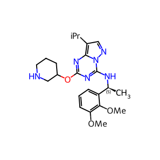 COc1cccc([C@H](C)Nc2nc(OC3CCCNC3)nc3c(C(C)C)cnn23)c1OC